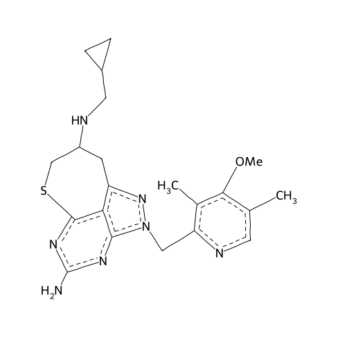 COc1c(C)cnc(Cn2nc3c4c(nc(N)nc42)SCC(NCC2CC2)C3)c1C